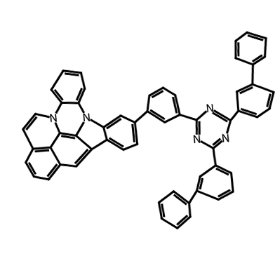 c1ccc(-c2cccc(-c3nc(-c4cccc(-c5ccccc5)c4)nc(-c4cccc(-c5ccc6c7cc8cccc9ccn%10c%11ccccc%11n(c6c5)c7c-%10c98)c4)n3)c2)cc1